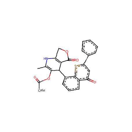 COC(=O)OC1=C(C)NC2=C(C(=O)OC2)C1c1cccc2c(=O)cc(-c3ccccc3)sc12